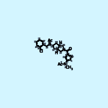 CC(=O)N(C)c1cnn(C(=O)N2C[C@H]3C[C@H](N(Cc4ccccc4Cl)C(C)=O)C[C@H]3C2)c1